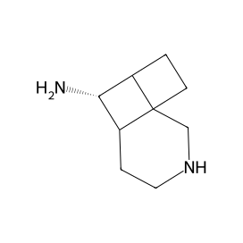 N[C@H]1C2CCNCC23CCC13